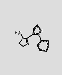 NN1CCN=C1c1ccnn1-c1ccccc1